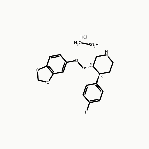 CS(=O)(=O)O.Cl.Fc1ccc([C@@H]2CCNC[C@H]2COc2ccc3c(c2)OCO3)cc1